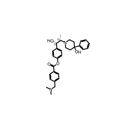 C[C@@H]([C@@H](O)c1ccc(OC(=O)c2ccc(CN(C)C)cc2)cc1)N1CCC(O)(c2ccccc2)CC1